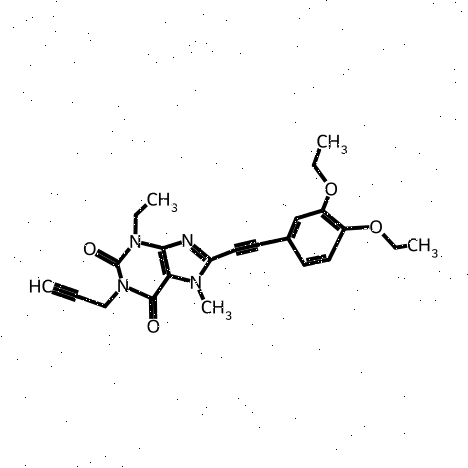 C#CCn1c(=O)c2c(nc(C#Cc3ccc(OCC)c(OCC)c3)n2C)n(CC)c1=O